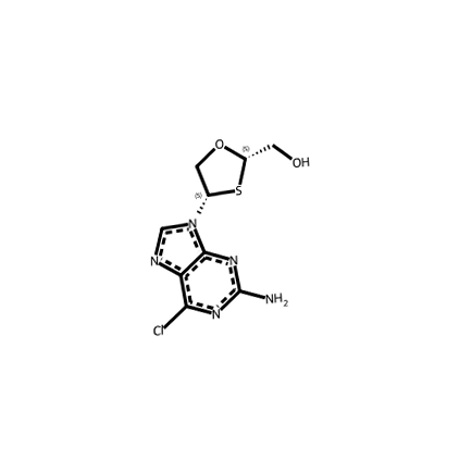 Nc1nc(Cl)c2ncn([C@@H]3CO[C@H](CO)S3)c2n1